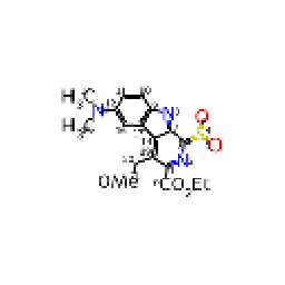 CCOC(=O)C1=NC(=S(=O)=O)C2=Nc3ccc(N(C)C)cc3C2=C1COC